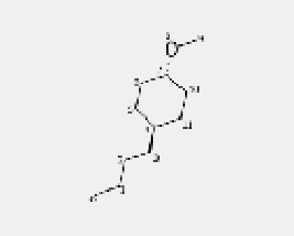 CCCC[C@H]1CC[C@H](OC)CC1